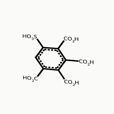 O=C(O)c1cc(S(=O)(=O)O)c(C(=O)O)c(C(=O)O)c1C(=O)O